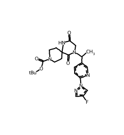 CC(c1ccc(-n2cc(F)cn2)nc1)N1CC(=O)NC2(CCN(C(=O)OC(C)(C)C)CC2)C1=O